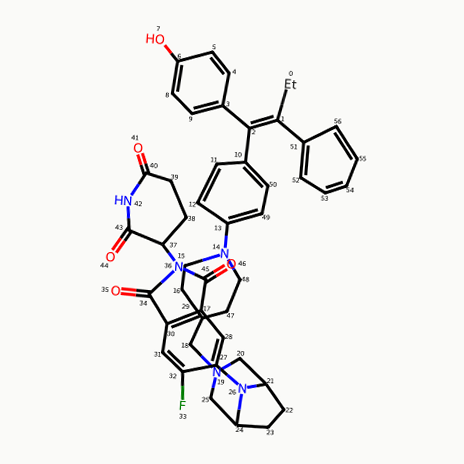 CCC(=C(c1ccc(O)cc1)c1ccc(N2CCC(CN3CC4CCC(C3)N4c3cc4c(cc3F)C(=O)N(C3CCC(=O)NC3=O)C4=O)CC2)cc1)c1ccccc1